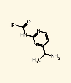 CC(C)C(=O)Nc1nccc(C(C)N)n1